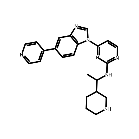 CC(Nc1nccc(-n2cnc3cc(-c4ccncc4)ccc32)n1)C1CCCNC1